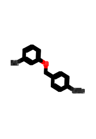 COc1ccc(COc2cccc(C#N)c2)cc1